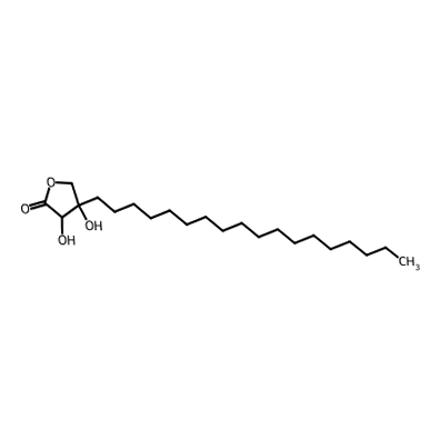 CCCCCCCCCCCCCCCCCCC1(O)COC(=O)C1O